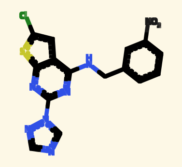 O=[N+]([O-])c1cccc(CNc2nc(-n3cncn3)nc3sc(Cl)cc23)c1